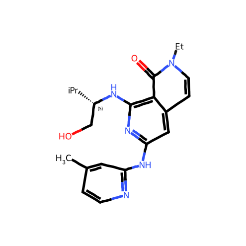 CCn1ccc2cc(Nc3cc(C)ccn3)nc(N[C@H](CO)C(C)C)c2c1=O